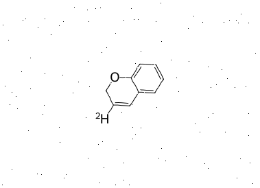 [2H]C1=Cc2ccccc2OC1